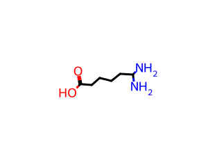 NC(N)CCCCC(=O)O